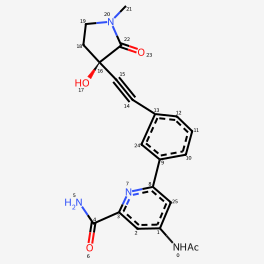 CC(=O)Nc1cc(C(N)=O)nc(-c2cccc(C#C[C@]3(O)CCN(C)C3=O)c2)c1